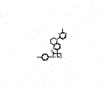 Cc1nccc(N2CCCc3nc(C4(C(=O)Nc5ccc(F)cc5)COC4)ccc32)n1